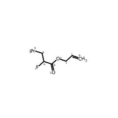 C=CCOC(=O)C(F)CC(C)C